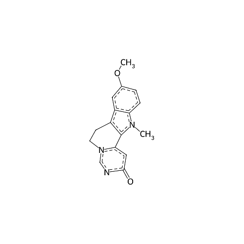 COc1ccc2c(c1)c1c(n2C)-c2cc(=O)ncn2CC1